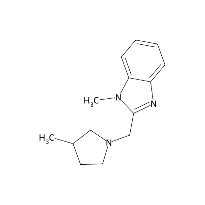 CC1CCN(Cc2nc3ccccc3n2C)C1